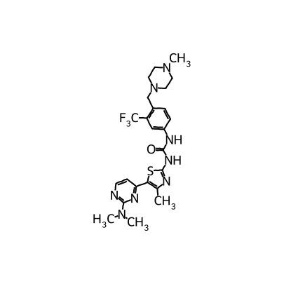 Cc1nc(NC(=O)Nc2ccc(CN3CCN(C)CC3)c(C(F)(F)F)c2)sc1-c1ccnc(N(C)C)n1